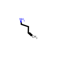 C=CC[C]N